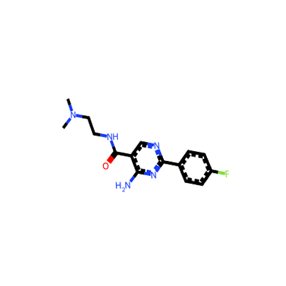 CN(C)CCNC(=O)c1cnc(-c2ccc(F)cc2)nc1N